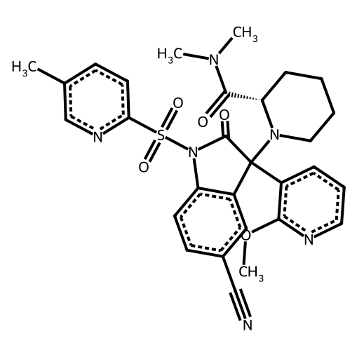 COc1ncccc1C1(N2CCCC[C@H]2C(=O)N(C)C)C(=O)N(S(=O)(=O)c2ccc(C)cn2)c2ccc(C#N)cc21